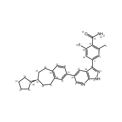 Cc1cc(-c2n[nH]c3ncc(-c4ccc5c(c4)CC[C@@H](N4CCCC4)CC5)cc23)cc(F)c1C(N)=O